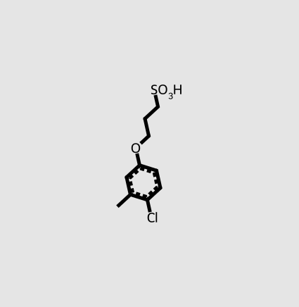 Cc1cc(OCCCS(=O)(=O)O)ccc1Cl